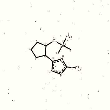 CC(C)(C)[Si](C)(C)OC1CCCC1c1nc(C(F)(F)F)cs1